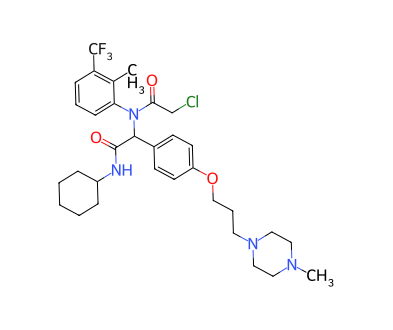 Cc1c(N(C(=O)CCl)C(C(=O)NC2CCCCC2)c2ccc(OCCCN3CCN(C)CC3)cc2)cccc1C(F)(F)F